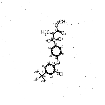 COC(=O)C(C)S(=O)(=O)c1ccc(Oc2ccc(C(F)(F)F)cc2Cl)cc1